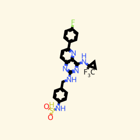 O=[SH](=O)Nc1ccc(CNc2nc(NC3(C(F)(F)F)CC3)c3nc(-c4ccc(F)cc4)ccc3n2)cc1